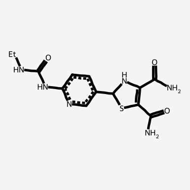 CCNC(=O)Nc1ccc(C2NC(C(N)=O)=C(C(N)=O)S2)cn1